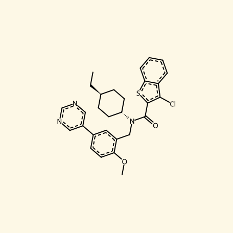 CC[C@H]1CC[C@H](N(Cc2cc(-c3cncnc3)ccc2OC)C(=O)c2sc3ccccc3c2Cl)CC1